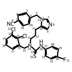 N#Cc1ccc(Cn2cncc2CCCN(Cc2cccc(Cl)c2Cl)C(=S)Nc2ccc(F)cc2)cc1